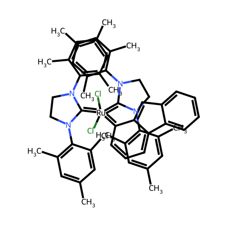 Cc1cc(C)c(N2CCN(c3c(C)cc(C)cc3C)[C]2=[Ru]([Cl])([Cl])(=[C]2C=CC=C3C2=Cc2ccccc23)=[C]2N(c3c(C)cc(C)cc3C)CCN2c2c(C)cc(C)cc2C)c(C)c1